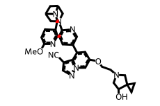 COc1ccc(CN2C3CC2CN(c2ccc(-c4cc(OCCN5CC(O)C6(CC6)C5)cn5ncc(C#N)c45)cn2)C3)cn1